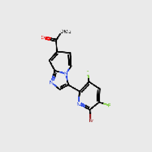 COC(=O)c1ccn2c(-c3nc(Br)c(F)cc3F)cnc2c1